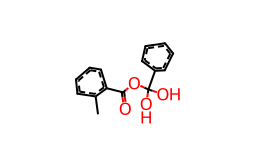 Cc1ccccc1C(=O)OC(O)(O)c1ccccc1